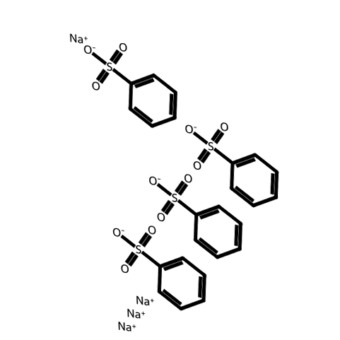 O=S(=O)([O-])c1ccccc1.O=S(=O)([O-])c1ccccc1.O=S(=O)([O-])c1ccccc1.O=S(=O)([O-])c1ccccc1.[Na+].[Na+].[Na+].[Na+]